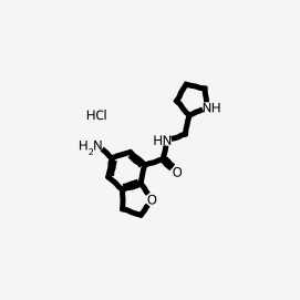 Cl.Nc1cc2c(c(C(=O)NCC3CCCN3)c1)OCC2